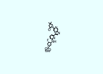 CC1(C)CC(=O)N(c2cn3c(-c4cccc(N[C@H]5CN(C(=O)OC(C)(C)C)C[C@@H]5F)n4)cnc3cn2)C1